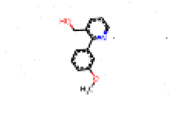 COc1cccc(-c2ncccc2CO)c1